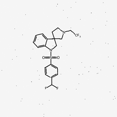 O=S(=O)(c1ccc(C(F)F)cc1)N1CC2(CCN(CC(F)(F)F)C2)c2ccccc21